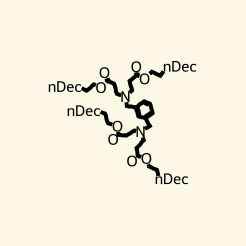 CCCCCCCCCCCCOC(=O)CCN(CCC(=O)OCCCCCCCCCCCC)Cc1cccc(CN(CCC(=O)OCCCCCCCCCCCC)CCC(=O)OCCCCCCCCCCCC)c1